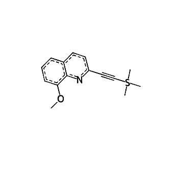 COc1cccc2ccc(C#CS(C)(C)C)nc12